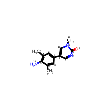 Cc1cc(-c2cnc(=O)n(C)c2)cc(C)c1N